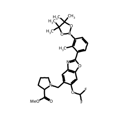 COC(=O)C1CCCN1Cc1cc2nc(-c3cccc(B4OC(C)(C)C(C)(C)O4)c3C)oc2cc1OC(F)F